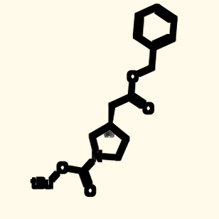 CC(C)(C)OC(=O)N1CC[C@H](CC(=O)OCc2ccccc2)C1